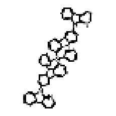 c1ccc([Si](c2ccccc2)(c2cccc3c2oc2ccc(-n4c5ccccc5c5cccnc54)cc23)c2cccc3c2sc2ccc(-n4c5ccccc5c5cccnc54)cc23)cc1